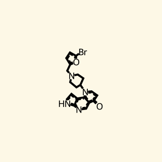 O=c1ccn(C2CCN(Cc3ccc(Br)o3)CC2)c2c1cnc1[nH]ccc12